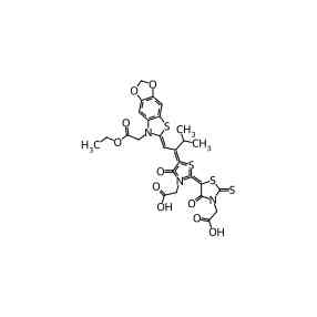 CCOC(=O)CN1/C(=C/C(=c2/s/c(=C3\SC(=S)N(CC(=O)O)C3=O)n(CC(=O)O)c2=O)C(C)C)Sc2cc3c(cc21)OCO3